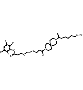 CCCCCCCCCCCCCCCC(=O)N1CCC2(CC1)CCN(C(=O)CCOCCOCCC(=O)Oc1c(F)c(F)cc(F)c1F)CC2